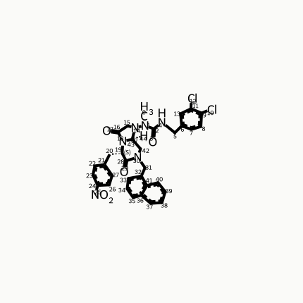 CN(C(=O)NCc1ccc(Cl)c(Cl)c1)N1CC(=O)N2[C@@H](Cc3ccc([N+](=O)[O-])cc3)C(=O)N(Cc3cccc4ccccc34)C[C@@H]21